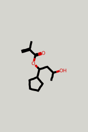 C=C(C)C(=O)OC(CC(C)O)C1CCCC1